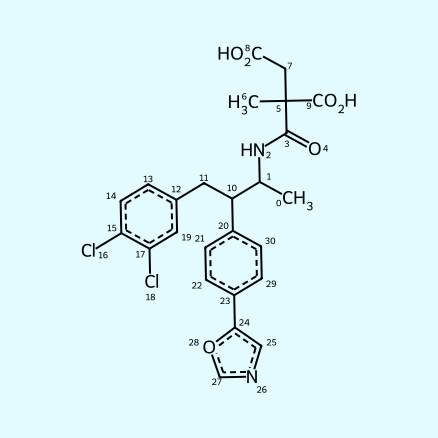 CC(NC(=O)C(C)(CC(=O)O)C(=O)O)C(Cc1ccc(Cl)c(Cl)c1)c1ccc(-c2cnco2)cc1